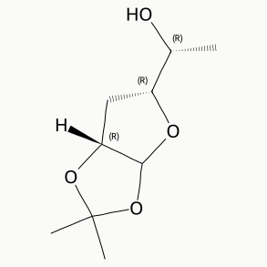 C[C@@H](O)[C@H]1C[C@H]2OC(C)(C)OC2O1